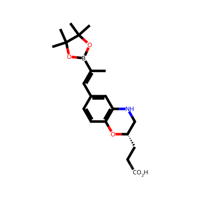 CC(=Cc1ccc2c(c1)NC[C@H](CCC(=O)O)O2)B1OC(C)(C)C(C)(C)O1